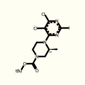 C[C@H]1CN(C(=O)OC(C)(C)C)CCN1c1nc(I)nc(Cl)c1Cl